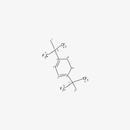 CC(C1=CC=C(C(C)(C(F)(F)F)C(F)(F)F)CC1)(C(F)(F)F)C(F)(F)F